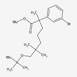 CC(C)(CCCC(C)(C(=O)OC(C)(C)C)c1cccc(Br)c1)CO[Si](C)(C)C(C)(C)C